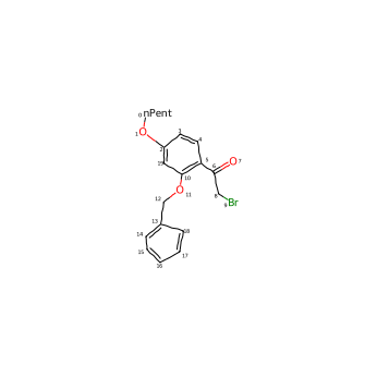 CCCCCOc1ccc(C(=O)CBr)c(OCc2ccccc2)c1